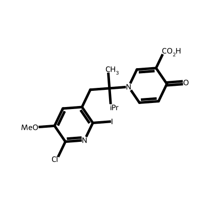 COc1cc(CC(C)(C(C)C)n2ccc(=O)c(C(=O)O)c2)c(I)nc1Cl